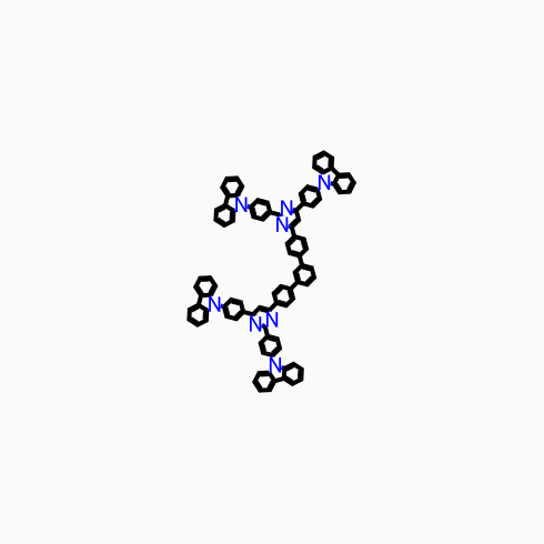 c1cc(-c2ccc(-c3cc(-c4ccc(-n5c6ccccc6c6ccccc65)cc4)nc(-c4ccc(-n5c6ccccc6c6ccccc65)cc4)n3)cc2)cc(-c2ccc(-c3cc(-c4ccc(-n5c6ccccc6c6ccccc65)cc4)nc(-c4ccc(-n5c6ccccc6c6ccccc65)cc4)n3)cc2)c1